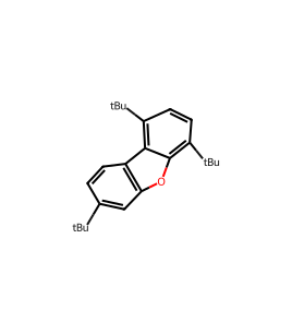 CC(C)(C)c1ccc2c(c1)oc1c(C(C)(C)C)ccc(C(C)(C)C)c12